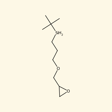 CC(C)(C)[SiH2]CCCOCC1CO1